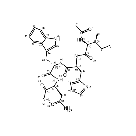 CC[C@H](C)[C@H](NC(C)=O)C(=O)N[C@@H](Cc1c[nH]cn1)C(=O)N[C@@H](Cc1c[nH]c2ccccc12)C(=O)N[C@@H](CC(N)=O)C(N)=O